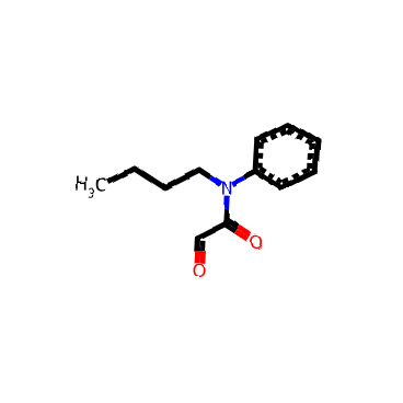 CCCCN(C(=O)C=O)c1ccccc1